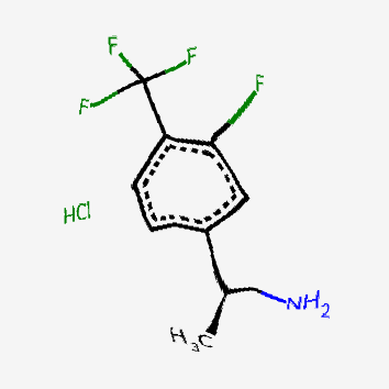 C[C@H](N)c1ccc(C(F)(F)F)c(F)c1.Cl